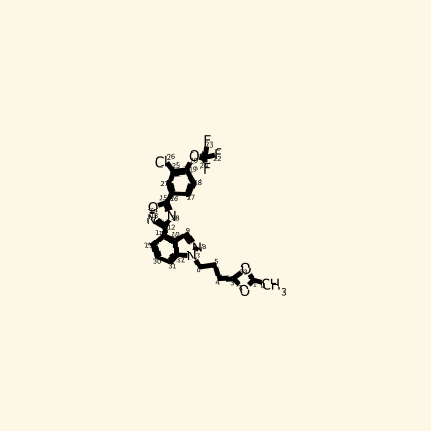 CC1OC(CCCn2ncc3c(-c4noc(-c5ccc(OC(F)(F)F)c(Cl)c5)n4)cccc32)O1